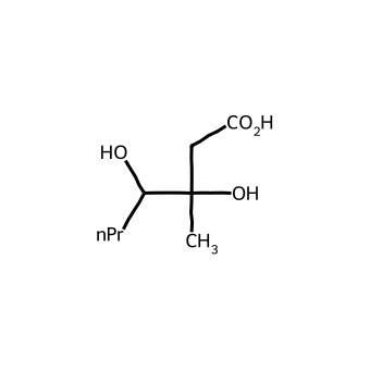 CCCC(O)C(C)(O)CC(=O)O